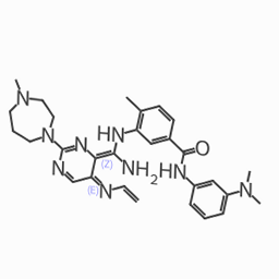 C=C/N=C1/C=NC(N2CCCN(C)CC2)=N/C1=C(/N)Nc1cc(C(=O)Nc2cccc(N(C)C)c2)ccc1C